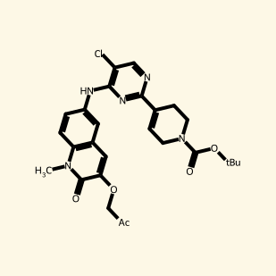 CC(=O)COc1cc2cc(Nc3nc(C4=CCN(C(=O)OC(C)(C)C)CC4)ncc3Cl)ccc2n(C)c1=O